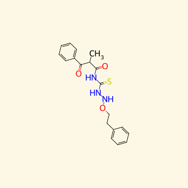 CC(C(=O)NC(=S)NNOCCc1ccccc1)C(=O)c1ccccc1